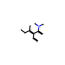 C=C/C(C(=C)N(C)C)=C(/C)CC